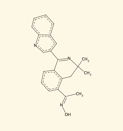 C/C(=N\O)c1cccc2c1CC(C)(C)N=C2c1cnc2ccccc2c1